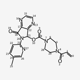 C=CC(=O)N1CCN(C(=O)OC2c3nccnc3C(=O)N2c2ccc(C)cn2)CC1